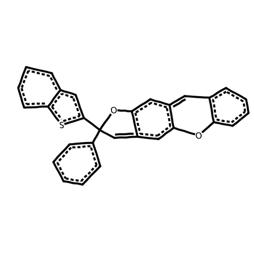 C1=c2cc3c(cc2Oc2ccccc21)=CC(c1ccccc1)(c1cc2ccccc2s1)O3